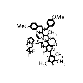 COc1ccc(CN(Cc2ccc(OC)cc2)c2nccnc2[C@@H](C)N2CCOc3nc(-c4nc(C)c(F)c(C)c4C(F)(F)F)c(F)c4nc(SC[C@@]56CCCN5C[C@]5(CC5(F)F)C6)nc2c34)cc1